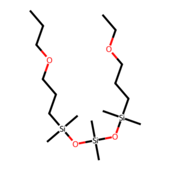 CCCOCCC[Si](C)(C)O[Si](C)(C)O[Si](C)(C)CCCOCC